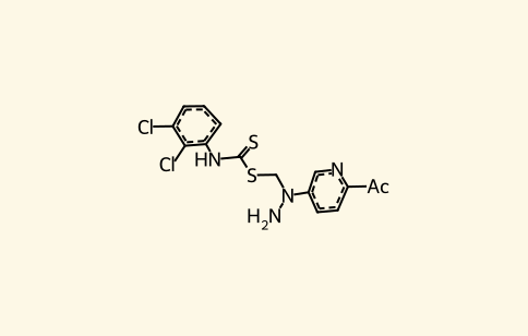 CC(=O)c1ccc(N(N)CSC(=S)Nc2cccc(Cl)c2Cl)cn1